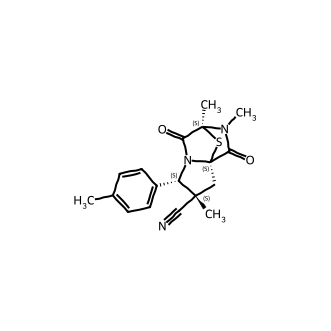 Cc1ccc([C@@H]2N3C(=O)[C@]4(C)S[C@@]3(C[C@]2(C)C#N)C(=O)N4C)cc1